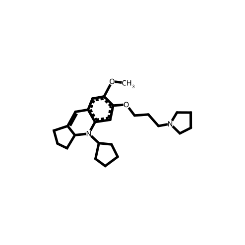 COc1cc2c(cc1OCCCN1CCCC1)N(C1CCCC1)C1CCCC1=C2